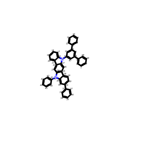 c1ccc(-c2cc(-c3ccccc3)cc(-n3c4ccccc4c4cc5c(cc43)c3ccc(-c4ccccc4)cc3n5-c3ccccc3)c2)cc1